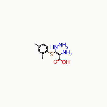 Cc1ccc(S/C(NN)=C(/N)C(=O)O)c(C)c1